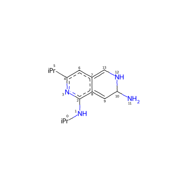 CC(C)Nc1nc(C(C)C)cc2c1=CC(N)NC=2